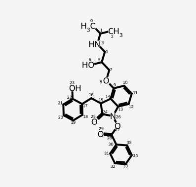 CC(C)NCC(O)COc1cccc2c1C(Cc1ccccc1O)C(=O)N2OC(=O)c1ccccc1